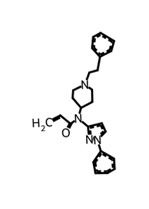 C=CC(=O)N(c1ccn(-c2ccccc2)n1)C1CCN(CCc2ccccc2)CC1